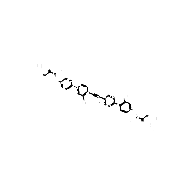 C=C(CO)C(=O)Oc1ccc(-c2ccc(C#Cc3ccc(-c4ccc(OC(O)C(=C)CO)cc4)cc3CCCCCC)cc2)c(CC)c1